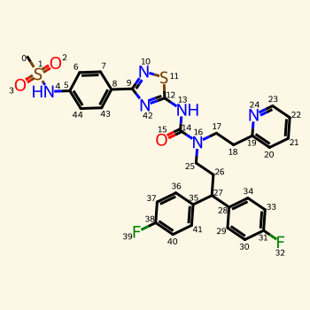 CS(=O)(=O)Nc1ccc(-c2nsc(NC(=O)N(CCc3ccccn3)CCC(c3ccc(F)cc3)c3ccc(F)cc3)n2)cc1